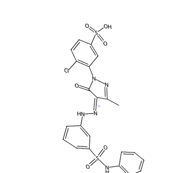 CC1=NN(c2cc(S(=O)(=O)O)ccc2Cl)C(=O)/C1=N\Nc1cccc(S(=O)(=O)Nc2ccccc2)c1